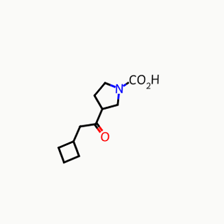 O=C(CC1CCC1)C1CCN(C(=O)O)C1